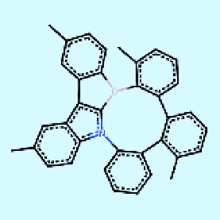 Cc1ccc2c(c1)-c1c3n(c4ccc(C)cc14)-c1ccccc1-c1c(C)cccc1-c1cccc(C)c1B23